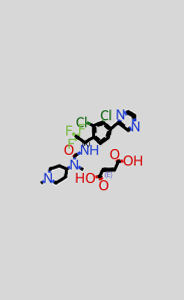 CN1CCC(N(C)C(=O)N[C@H](c2ccc(-c3cnccn3)c(Cl)c2Cl)C(F)(F)F)CC1.O=C(O)/C=C/C(=O)O